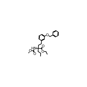 CCCC(CCc1cccc(OCc2ccccc2)c1)(NC(=O)OC)C(=O)OCC